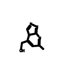 Cc1cc(CO)n2cnnc2n1